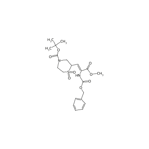 COC(=O)C(=CC1CN(C(=O)OC(C)(C)C)CCS1(=O)=O)NC(=O)OCc1ccccc1